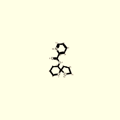 O=C(OC1CCCOC12CCCO2)c1ccccn1